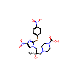 C[C@](O)(CN1CCN(C(=O)O)CC1)Cn1cc([N+](=O)[O-])nc1Sc1ccc([N+](=O)[O-])cc1